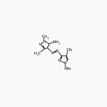 CCCCn1cc(C#N)c(N=NC2C(C)=NN(C)C2N)n1